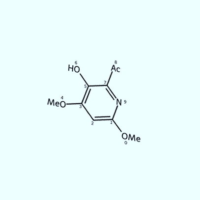 COc1cc(OC)c(O)c(C(C)=O)n1